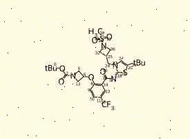 CC(C)(C)OC(=O)N1CC(Oc2ccc(C(F)(F)F)cc2C(=O)/N=c2/sc(C(C)(C)C)cn2CC2CN(S(C)(=O)=O)C2)C1